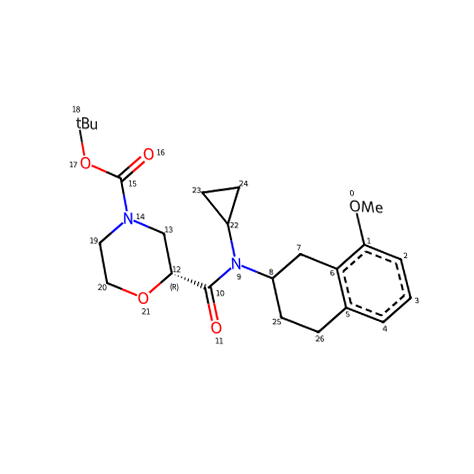 COc1cccc2c1CC(N(C(=O)[C@H]1CN(C(=O)OC(C)(C)C)CCO1)C1CC1)CC2